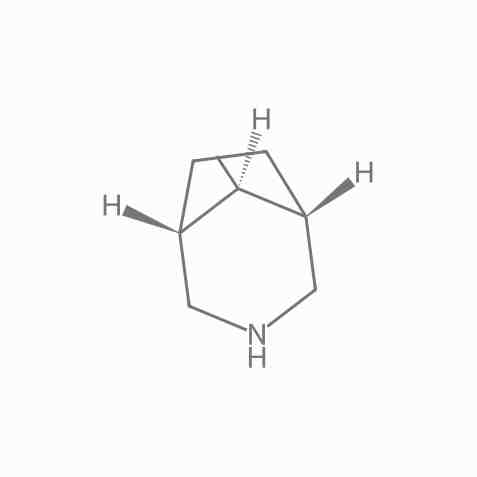 C[C@H]1[C@@H]2CC[C@H]1CNC2